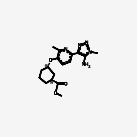 COC(=O)[C@H]1CCC[C@H](Oc2ccc(-c3nnn(C)c3N)nc2C)C1